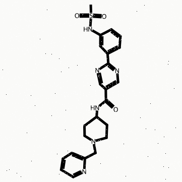 CS(=O)(=O)Nc1cccc(-c2ncc(C(=O)NC3CCN(Cc4ccccn4)CC3)cn2)c1